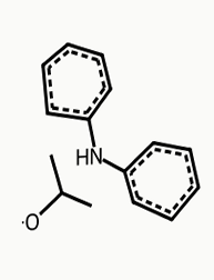 CC(C)[O].c1ccc(Nc2ccccc2)cc1